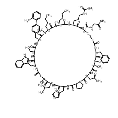 CCCC[C@H]1C(=O)N(C)[C@@H](CCCC)C(=O)NC(CCCNC(=N)N)C(=O)N[C@H](C(=O)NCC(N)=O)CSCC(=O)N[C@@H](Cc2ccccc2)C(=O)N(C)[C@@H](C)C(=O)N[C@@H](CC(N)=O)C(=O)N2CCCC2C(=O)N[C@@H](Cc2cnc[nH]2)C(=O)N[C@@H](CC(C)C)C(=O)N(C)CC(=O)N[C@@H](Cc2c[nH]c3ccccc23)C(=O)N[C@@H](CO)C(=O)N[C@@H](Cc2ccc(-c3ccccc3C)cc2)C(=O)N1C